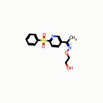 C/C(=N/OCCO)c1ccc(S(=O)(=O)c2ccccc2)nc1